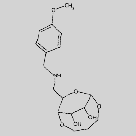 COc1ccc(CNCC2OC3OCCCOC2C(O)C3O)cc1